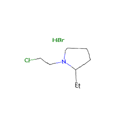 Br.CCC1CCCN1CCCl